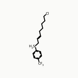 FC(F)(F)c1ccc([SiH2]CC=CCCCCCCl)cc1